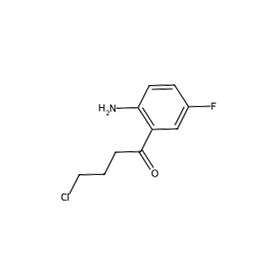 Nc1ccc(F)cc1C(=O)CCCCl